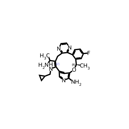 CC(N)/C1=C(\NCC2CC2)c2cnc(N)c(c2)O[C@H](C)c2cc(F)ccc2-c2nccnc2C1